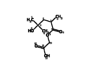 CC(CC(C)(C)O)C(=O)OCC(=O)O